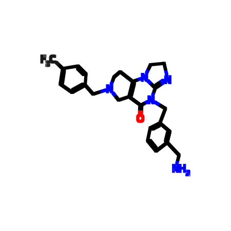 NCc1cccc(CN2C(=O)C3=C(CCN(Cc4ccc(C(F)(F)F)cc4)C3)N3CCN=C23)c1